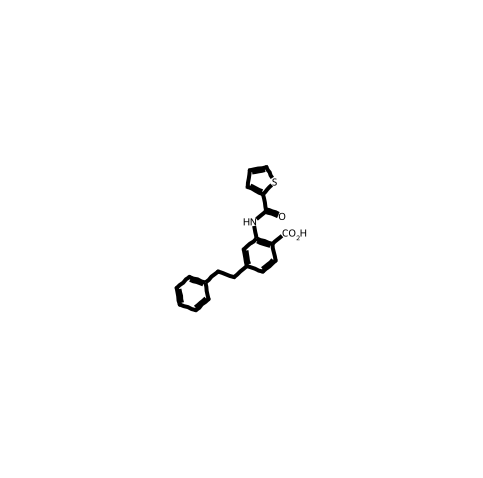 O=C(Nc1cc(CCc2ccccc2)ccc1C(=O)O)c1cccs1